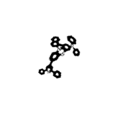 c1ccc(-c2cc(-c3ccc4c(c3)Sc3cc(N(c5ccccc5)c5ccccc5)cc5c6c7ccccc7ccc6n-4c35)cc(-c3ccccc3)n2)cc1